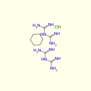 C1CCCCC1.Cl.N=C(N)NC(=N)N.N=C(N)NC(=N)N